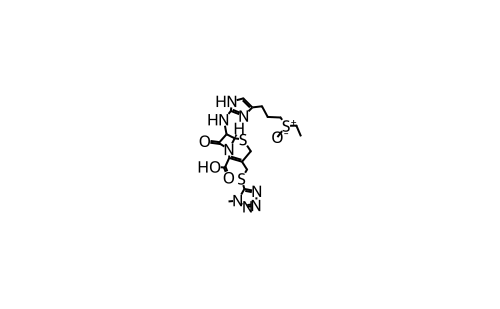 CC[S+]([O-])CCCc1c[nH]c(NC2C(=O)N3C(C(=O)O)=C(CSc4nnnn4C)CS[C@@H]23)n1